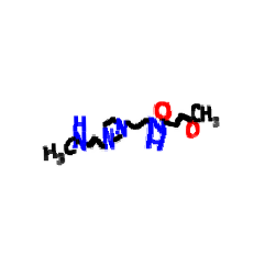 CNCCCN1CCN(CCCNC(=O)CCC(C)=O)CC1